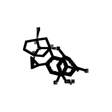 O=C(O)c1cc(C2CC2)c(CN2[C@@H]3CC[C@H]2C[C@H](Oc2cc(Cl)cc(Cl)c2)C3)cc1F